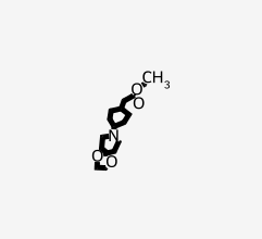 CCOC(=O)CC1CCC(N2CCC3(CC2)OCCO3)CC1